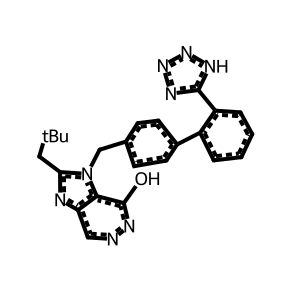 CC(C)(C)Cc1nc2cnnc(O)c2n1Cc1ccc(-c2ccccc2-c2nnn[nH]2)cc1